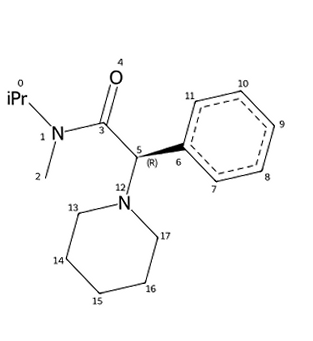 CC(C)N(C)C(=O)[C@@H](c1ccccc1)N1CCCCC1